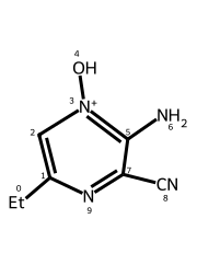 CCc1c[n+](O)c(N)c(C#N)n1